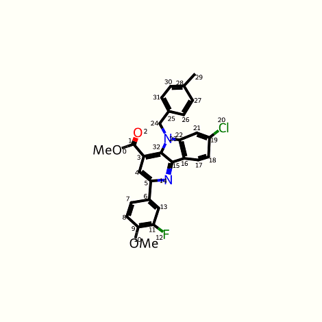 COC(=O)c1cc(-c2ccc(OC)c(F)c2)nc2c3ccc(Cl)cc3n(Cc3ccc(C)cc3)c12